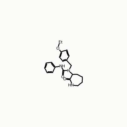 CCOc1ccc(CN(C(=O)Nc2ccccc2)C2CCCCNC2=O)cc1